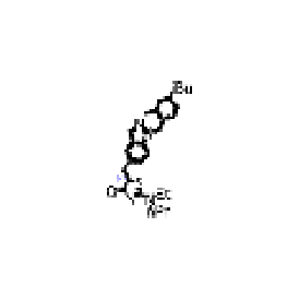 CCCN(CC)C1=NC(=O)/C(=C/c2ccc3c(cnn3Cc3ccc(C(C)CC)cc3C)c2)S1